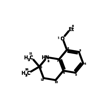 CCOc1cccc2c1NC(C)(C)CC2